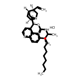 C=C[C@H]1CN2CC[C@H]1C[C@@H]2[C@@H](OC(=O)NC(C)CCCCCCCCC)c1ccnc2ccc(OC)cc12.Cl